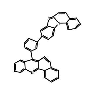 c1cc(-c2ccc3c(c2)nc2ccc4ccccc4n23)cc(-c2c3ccccc3nc3c2ccc2ccccc23)c1